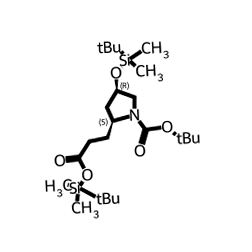 CC(C)(C)OC(=O)N1C[C@H](O[Si](C)(C)C(C)(C)C)C[C@@H]1CCC(=O)O[Si](C)(C)C(C)(C)C